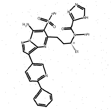 CCCN(C(=O)c1nnc[nH]1)[C@H](CC)CCc1nc2c(-c3ccc(-c4ccccc4)nc3)cnn2c(N)c1S(=O)(=O)CCC